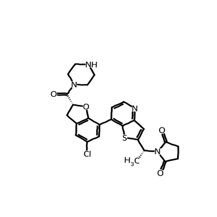 C[C@H](c1cc2nccc(-c3cc(Cl)cc4c3O[C@@H](C(=O)N3CCNCC3)C4)c2s1)N1C(=O)CCC1=O